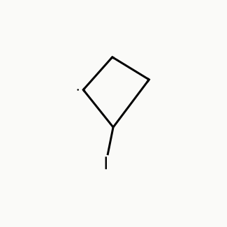 IC1[CH]CC1